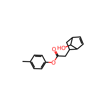 Cc1ccc(OC(=O)CC2CC3C=CC2C3O)cc1